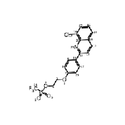 O=S(=O)(OCCOc1ccc(-c2ccc3cccc(Cl)c3n2)cc1)C(F)(F)F